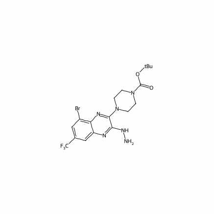 CC(C)(C)OC(=O)N1CCN(c2nc3c(Br)cc(C(F)(F)F)cc3nc2NN)CC1